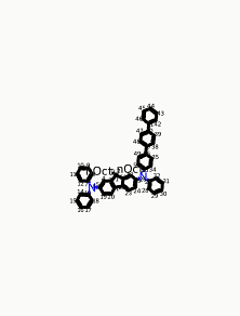 CCCCCCCCC1(CCCCCCCC)c2cc(N(c3ccccc3)c3ccccc3)ccc2-c2ccc(N(c3ccccc3)c3ccc(-c4ccc(-c5ccccc5)cc4)cc3)cc21